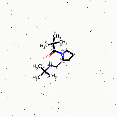 CC(C)(C)NC[C@@H]1CCCN1C(=O)C(C)(C)C